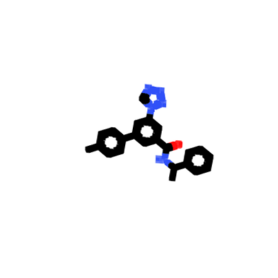 Cc1ccc(-c2cc(C(=O)NC(C)c3ccccc3)cc(-n3cnnn3)c2)cc1